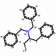 FCC(Cc1ccccc1)N(Cc1ccccc1)Cc1ccccc1